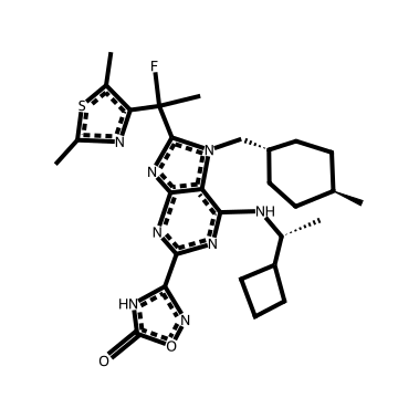 Cc1nc(C(C)(F)c2nc3nc(-c4noc(=O)[nH]4)nc(N[C@H](C)C4CCC4)c3n2C[C@H]2CC[C@H](C)CC2)c(C)s1